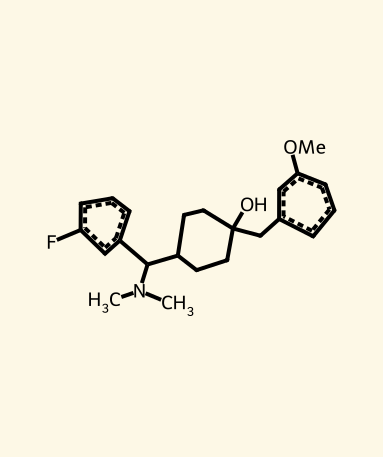 COc1cccc(CC2(O)CCC(C(c3cccc(F)c3)N(C)C)CC2)c1